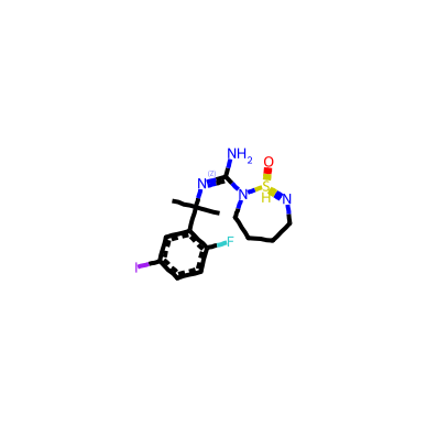 CC(C)(/N=C(/N)N1CCCCN=[SH]1=O)c1cc(I)ccc1F